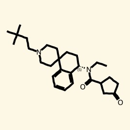 CCN(C(=O)C1CCC(=O)C1)[C@H]1CCC2(CCN(CCC(C)(C)C)CC2)c2ccccc21